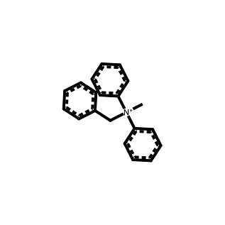 C[N+](Cc1ccccc1)(c1ccccc1)c1ccccc1